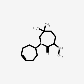 CNC1CCC(C)(C)CN(C2CCC=CCC2)C1=O